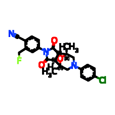 C[C@]12CN(c3ccc(Cl)cc3)C[C@](C)(O1)[C@@H]1C(=O)N(c3ccc(C#N)c(CF)c3)C(=O)[C@@H]12